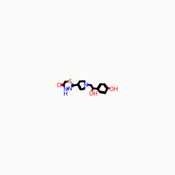 O=C1CSC(C2=CCN(CC(O)c3ccc(O)cc3)CC2)=NN1